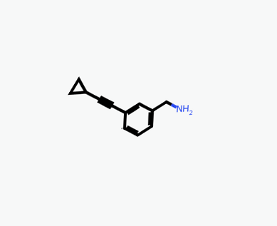 NCc1cc[c]c(C#CC2CC2)c1